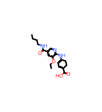 CCCCNC(=O)c1cnc(NC2=CC=C(C(=O)O)CC2)c(OCC)c1